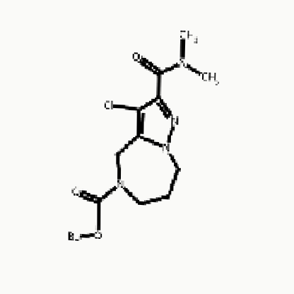 CCCCOC(=O)N1CCCn2nc(C(=O)N(C)C)c(Cl)c2C1